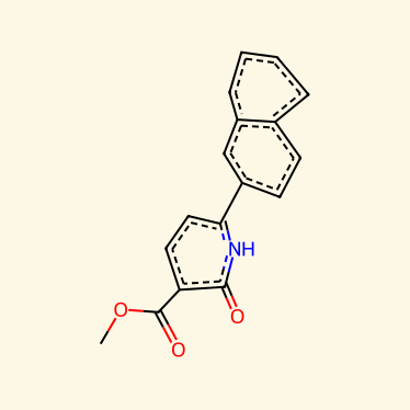 COC(=O)c1ccc(-c2ccc3ccccc3c2)[nH]c1=O